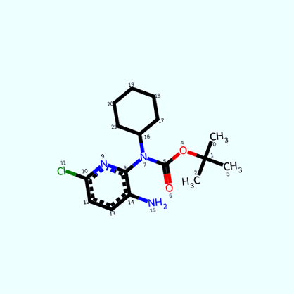 CC(C)(C)OC(=O)N(c1nc(Cl)ccc1N)C1CCCCC1